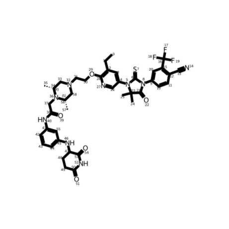 CCc1cc(N2C(=S)N(c3ccc(C#N)c(C(F)(F)F)c3)C(=O)C2(C)C)cnc1OCCN1C[C@@H](C)N(CC(=O)Nc2cccc(NC3CCC(=O)NC3=O)c2)[C@@H](C)C1